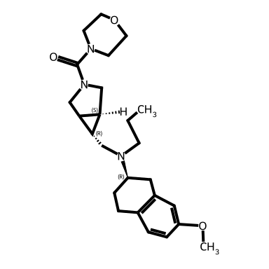 CCCN(C[C@@H]1C2CN(C(=O)N3CCOCC3)C[C@H]21)[C@@H]1CCc2ccc(OC)cc2C1